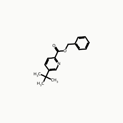 CC(C)(C)c1ccc(C(=O)OCc2ccccc2)nc1